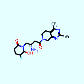 CCCc1nc2c(c(C(F)(F)F)n1)CCN(C(=O)C[C@H](N)CN1C(=O)CCC(F)C1O)C2